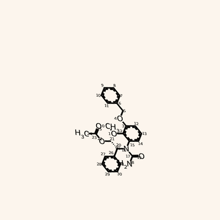 COc1c(OCc2ccccc2)cccc1N(C(N)=O)[C@@H](COC(C)=O)c1ccccc1